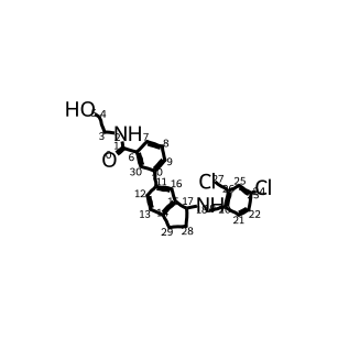 O=C(NCCO)c1cccc(-c2ccc3c(c2)C(NCc2ccc(Cl)cc2Cl)CC3)c1